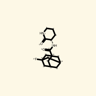 O=C1NCCC[C@@H]1NC(=O)C12CC3CC(CC(F)(C3)C1)C2